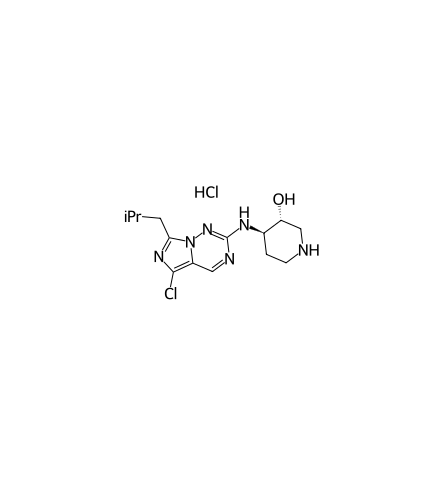 CC(C)Cc1nc(Cl)c2cnc(N[C@@H]3CCNC[C@H]3O)nn12.Cl